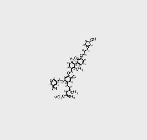 Cc1c(COc2cc(OCc3cncc(C#N)c3)c(CCC(C)C[C@H](N)C(=O)O)cc2Cl)cccc1-c1cccc(OCCCN2CCC(O)C2)c1C